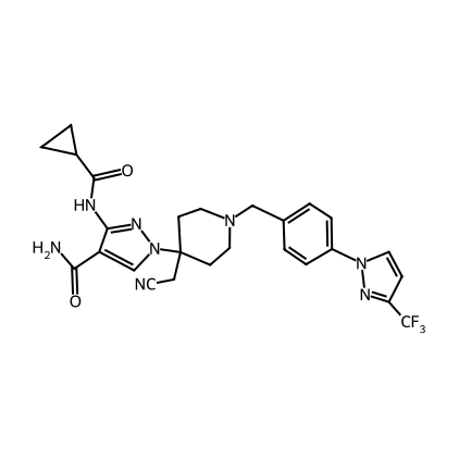 N#CCC1(n2cc(C(N)=O)c(NC(=O)C3CC3)n2)CCN(Cc2ccc(-n3ccc(C(F)(F)F)n3)cc2)CC1